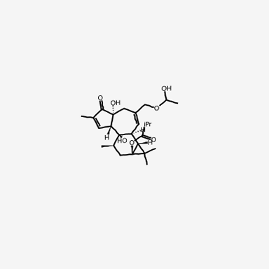 CC1=C[C@H]2[C@@]3(O)[C@H](C)C[C@]4(OC(=O)C(C)C)[C@H]([C@@H]3C=C(COC(C)O)C[C@]2(O)C1=O)C4(C)C